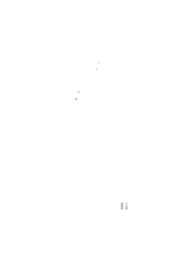 CC1C2CC3CC1CC(C2)C3(CC(=O)Nc1nncs1)c1ccccc1